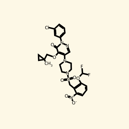 CC1(COc2c(N3CCN(S(=O)(=O)Cc4c(OC(F)F)cccc4[N+](=O)[O-])CC3)cnn(-c3cccc(Cl)c3)c2=O)CC1